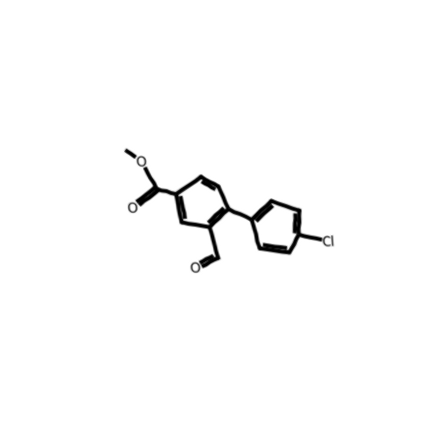 COC(=O)c1ccc(-c2ccc(Cl)cc2)c(C=O)c1